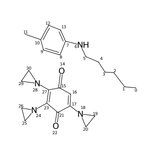 CCCCCCNc1ccc(C)cc1.O=C1C=C(N2CC2)C(=O)C(N2CC2)=C1N1CC1